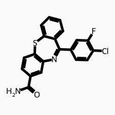 NC(=O)c1ccc2c(c1)N=C(c1ccc(Cl)c(F)c1)c1ccccc1S2